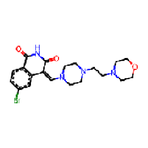 O=C1NC(=O)c2ccc(Br)cc2/C1=C/N1CCN(CCN2CCOCC2)CC1